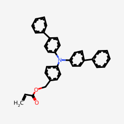 C=CC(=O)OCc1ccc(N(c2ccc(-c3ccccc3)cc2)c2ccc(-c3ccccc3)cc2)cc1